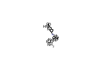 CC1(C)O[C@@H]2[C@H](O1)[C@@H](/C=C/c1ccc3cc4c(nc3c1)NS4(=O)=O)C[C@H]2N1CCc2c(N)ncnc21